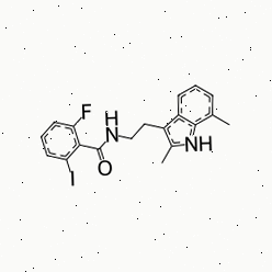 Cc1[nH]c2c(C)cccc2c1CCNC(=O)c1c(F)cccc1I